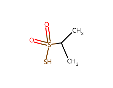 CC(C)S(=O)(=O)S